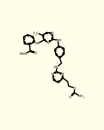 CNC(=O)c1ccccc1Nc1nc(Nc2ccc(CNc3nccc(CCOC(N)=O)n3)cc2)ncc1C(F)(F)F